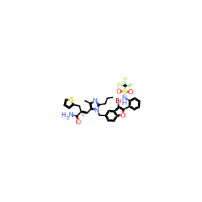 CCCc1nc(C)c(/C=C(\Cc2cccs2)C(N)=O)n1Cc1ccc2oc(-c3ccccc3NS(=O)(=O)C(F)(F)F)c(Br)c2c1